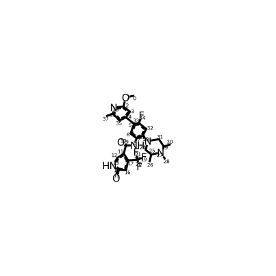 COc1cc(-c2cc(NC(=O)c3c[nH]c(=O)cc3C(F)(F)F)c(N3CC(C)N(C)C(C)C3)cc2F)cc(C)n1